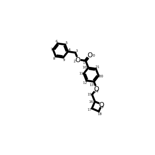 O=C(OCc1ccccc1)c1ccc(OCC2CCO2)cc1